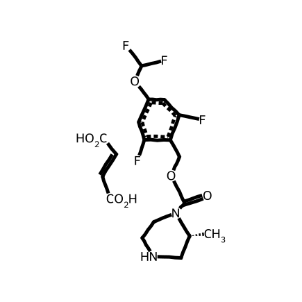 C[C@@H]1CNCCN1C(=O)OCc1c(F)cc(OC(F)F)cc1F.O=C(O)C=CC(=O)O